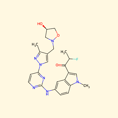 Cc1nn(-c2ccnc(Nc3ccc4c(c3)c(C(=O)C(C)F)cn4C)n2)cc1CN1C[C@@H](O)CO1